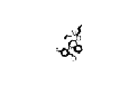 C=CCN(C)C(C=CC)OC1CCN(c2cc(F)ccc2C=O)c2ccccc21